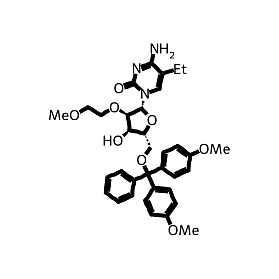 CCc1cn([C@@H]2O[C@H](COC(c3ccccc3)(c3ccc(OC)cc3)c3ccc(OC)cc3)[C@@H](O)[C@H]2OCCOC)c(=O)nc1N